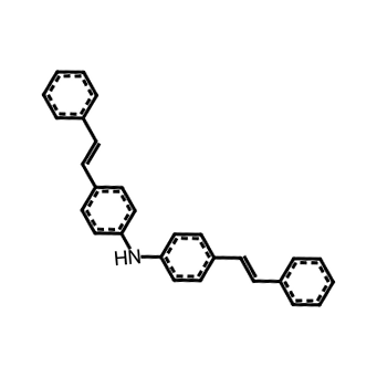 C(=Cc1ccc(Nc2ccc(C=Cc3ccccc3)cc2)cc1)c1ccccc1